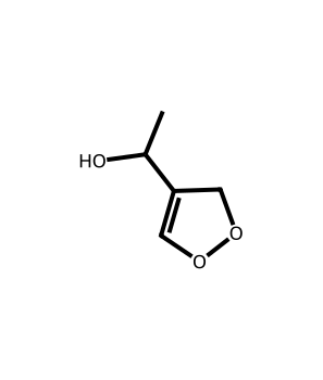 CC(O)C1=COOC1